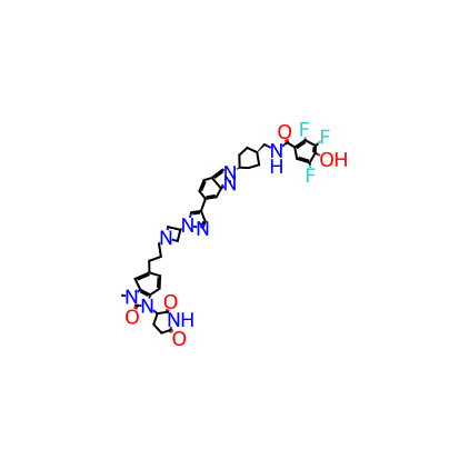 Cn1c(=O)n(C2CCC(=O)NC2=O)c2ccc(CCCN3CC(n4cc(-c5ccc6cn([C@H]7CC[C@H](CNC(=O)c8cc(F)c(O)c(F)c8F)CC7)nc6c5)cn4)C3)cc21